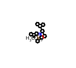 CC1(C)c2ccccc2-c2ccc(N(c3cc(-c4cc5ccccc5c5ccccc45)ccc3-c3ccccc3)c3cccc4c3sc3ccccc34)cc21